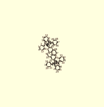 c1ccc(N2B(c3cc4ccc5cc(B6N(c7ccccc7)c7ccccc7N6c6ccccc6)cc6ccc(c3)c4c56)N(c3ccccc3)c3ccccc32)cc1